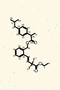 CCOC(=O)C(F)(F)C=Cc1ccccc1COC(=O)C(C)c1ccc(CC(C)C)cc1